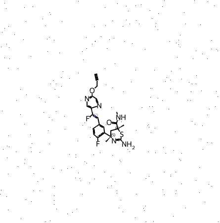 C#CCOc1cnc(/C(F)=C/c2ccc(F)c([C@]3(C)C[C@](C)(C(=O)NC)SC(N)=N3)c2)cn1